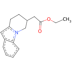 CCOC(=O)CC1CCc2cc3ccccc3n2C1